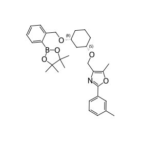 Cc1cccc(-c2nc(CO[C@H]3CCC[C@@H](OCc4ccccc4B4OC(C)(C)C(C)(C)O4)C3)c(C)o2)c1